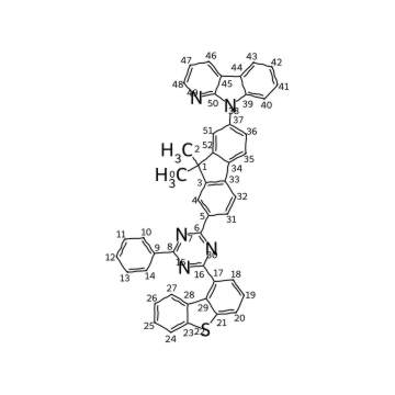 CC1(C)c2cc(-c3nc(-c4ccccc4)nc(-c4cccc5sc6ccccc6c45)n3)ccc2-c2ccc(-n3c4ccccc4c4cccnc43)cc21